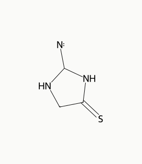 [N]C1NCC(=S)N1